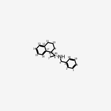 c1ccc(CN[C@@H]2C[C@]23CCCc2ccccc23)cc1